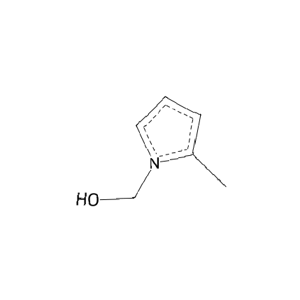 Cc1cccn1CO